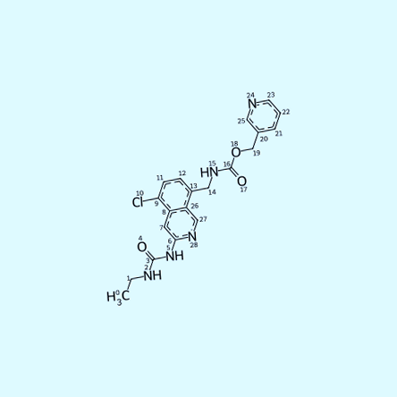 CCNC(=O)Nc1cc2c(Cl)ccc(CNC(=O)OCc3cccnc3)c2cn1